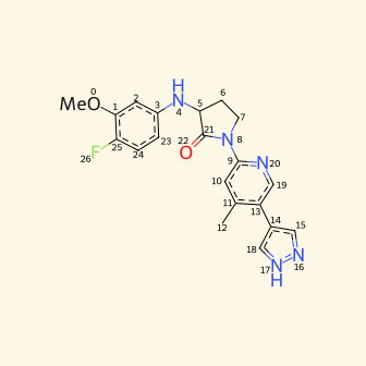 COc1cc(NC2CCN(c3cc(C)c(-c4cn[nH]c4)cn3)C2=O)ccc1F